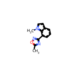 Cc1nc(-c2cccc3ccn(C)c23)no1